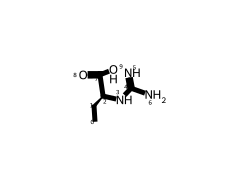 CC[C@H](NC(=N)N)C(=O)O